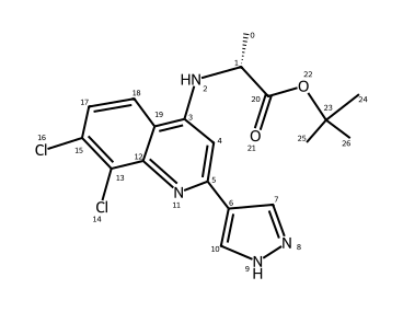 C[C@@H](Nc1cc(-c2cn[nH]c2)nc2c(Cl)c(Cl)ccc12)C(=O)OC(C)(C)C